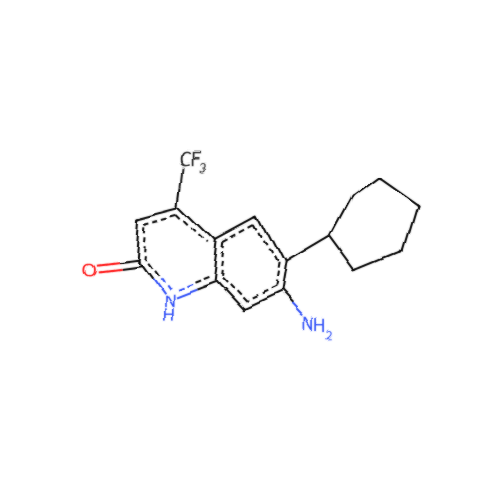 Nc1cc2[nH]c(=O)cc(C(F)(F)F)c2cc1C1CCCCC1